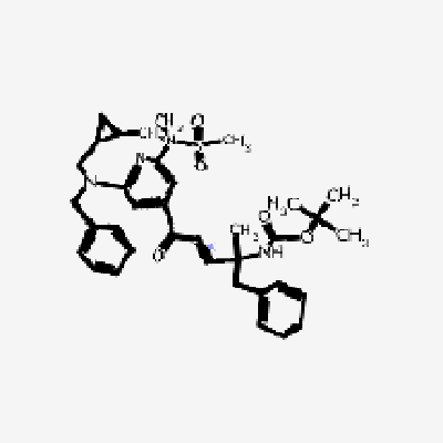 CC1CC1CN(Cc1ccccc1)c1cc(C(=O)/C=C/C(C)(Cc2ccccc2)NC(=O)OC(C)(C)C)cc(N(C)S(C)(=O)=O)n1